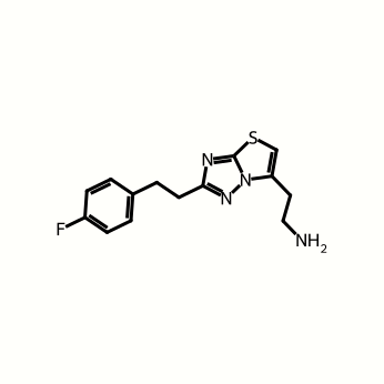 NCCc1csc2nc(CCc3ccc(F)cc3)nn12